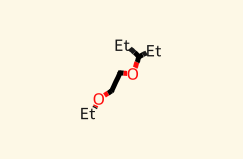 CCOCCOC(CC)CC